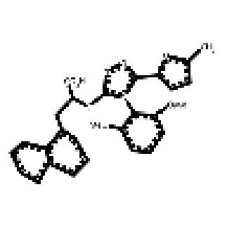 COc1cccc(OC)c1-n1c(SC(Cc2cccc3ccccc23)C(=O)O)nnc1-c1ccc(C)o1